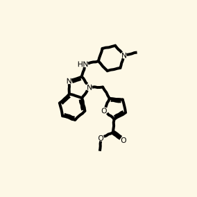 COC(=O)c1ccc(Cn2c(NC3CCN(C)CC3)nc3ccccc32)o1